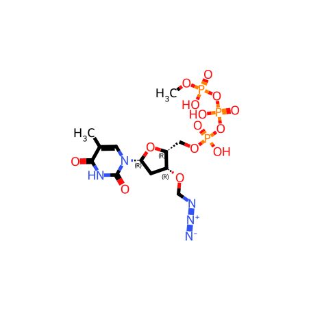 COP(=O)(O)OP(=O)(O)OP(=O)(O)OC[C@H]1O[C@@H](n2cc(C)c(=O)[nH]c2=O)C[C@H]1OCN=[N+]=[N-]